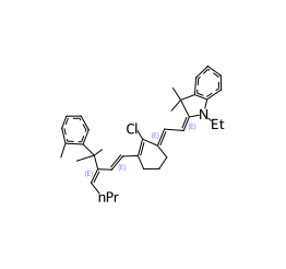 CCC/C=C(\C=C\C1=C(Cl)C(=C/C=C2/N(CC)c3ccccc3C2(C)C)/CCC1)C(C)(C)c1ccccc1C